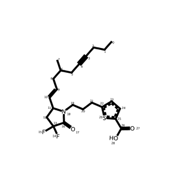 CCCC#CCC(C)C/C=C/C1CC(F)(F)C(=O)N1CCCc1ccc(C(=O)O)s1